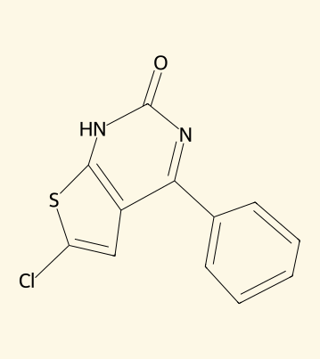 O=c1nc(-c2ccccc2)c2cc(Cl)sc2[nH]1